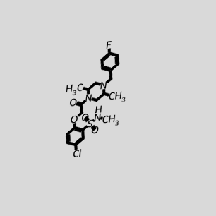 CNS(=O)(=O)c1cc(Cl)ccc1OCC(=O)N1CC(C)N(Cc2ccc(F)cc2)CC1C